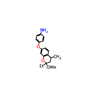 CCC1(OC)CC(C)c2ccc(Oc3ccc(N)cc3)cc2O1